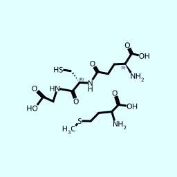 CSCCC(N)C(=O)O.N[C@@H](CCC(=O)N[C@@H](CS)C(=O)NCC(=O)O)C(=O)O